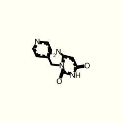 Nc1cc(=O)[nH]c(=O)n1Cc1ccncc1